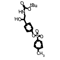 Cc1ccc(S(=O)(=O)Oc2ccc(C(O)CNC(=O)OC(C)(C)C)cc2)cc1